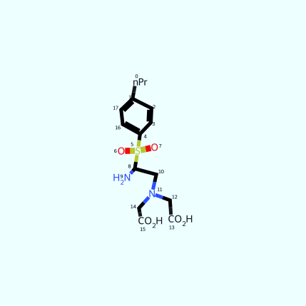 CCCc1ccc(S(=O)(=O)C(N)CN(CC(=O)O)CC(=O)O)cc1